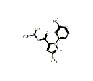 CNC(C)NC(=O)c1cc(C(F)(F)F)nn1-c1cccc(C#N)c1